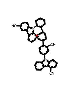 N#Cc1ccc2c(c1)c1ccccc1n2-c1ccccc1-c1ccc(-c2ccc(-n3c4ccccc4c4c(C#N)cccc43)cc2C#N)cc1